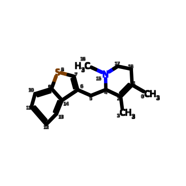 CC1=C(C)C(Cc2csc3ccccc23)N(C)CC1